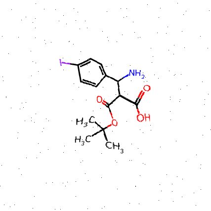 CC(C)(C)OC(=O)C(C(=O)O)C(N)c1ccc(I)cc1